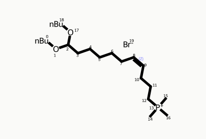 CCCCOC(CCCCC/C=C\CCC[P+](C)(C)C)OCCCC.[Br-]